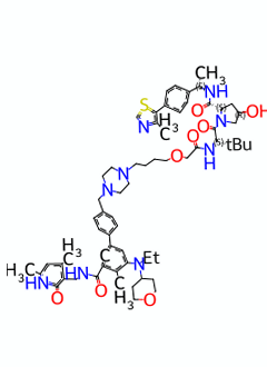 CCN(c1cc(-c2ccc(CN3CCN(CCCCOCC(=O)N[C@H](C(=O)N4C[C@H](O)C[C@H]4C(=O)N[C@@H](C)c4ccc(-c5scnc5C)cc4)C(C)(C)C)CC3)cc2)cc(C(=O)NCc2c(C)cc(C)[nH]c2=O)c1C)C1CCOCC1